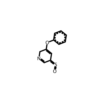 O=S=C1C=NCC(Oc2ccccc2)=C1